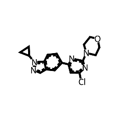 Clc1cc(-c2ccc3c(cnn3C3CC3)c2)nc(N2CCOCC2)n1